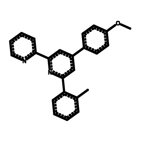 COc1ccc(-c2cc(-c3ccccn3)nc(-c3ccccc3C)c2)cc1